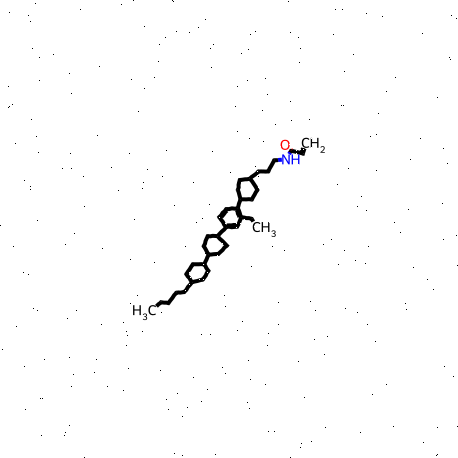 C=CC(=O)NCCCC1CCC(c2ccc(C3CCC(C4CCC(CCCCC)CC4)CC3)cc2CC)CC1